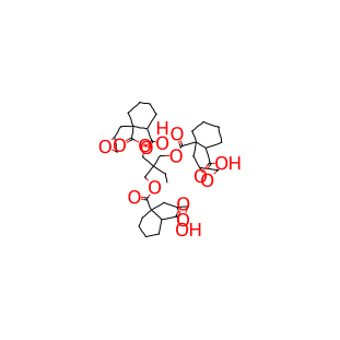 CCC(COC(=O)C1(CC2CO2)CCCCC1C(=O)O)(COC(=O)C1(CC2CO2)CCCCC1C(=O)O)COC(=O)C1(CC2CO2)CCCCC1C(=O)O